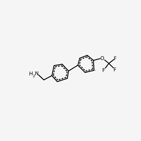 NCc1ccc(-c2c[c]c(OC(F)(F)F)cc2)cc1